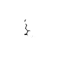 COC(=O)C(O)CC[Se]C